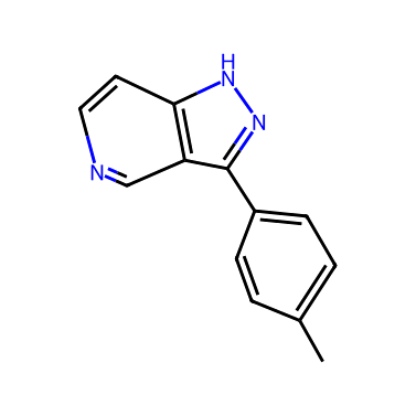 Cc1ccc(-c2n[nH]c3ccncc23)cc1